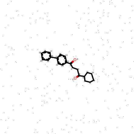 O=C(CCC(=O)C1CCCCC1)c1ccc(-c2ccccc2)cc1